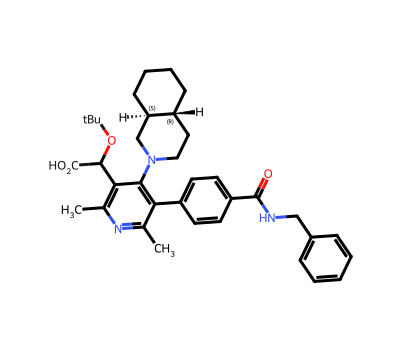 Cc1nc(C)c(C(OC(C)(C)C)C(=O)O)c(N2CC[C@H]3CCCC[C@@H]3C2)c1-c1ccc(C(=O)NCc2ccccc2)cc1